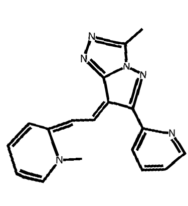 Cc1nnc2c(=CC=C3C=CC=CN3C)c(-c3ccccn3)nn12